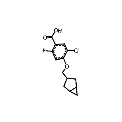 O=C(O)c1cc(Cl)c(OCC2CC3CC3C2)cc1F